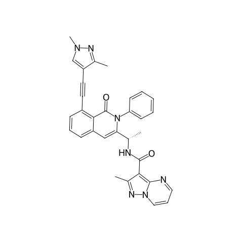 Cc1nn(C)cc1C#Cc1cccc2cc([C@H](C)NC(=O)c3c(C)nn4cccnc34)n(-c3ccccc3)c(=O)c12